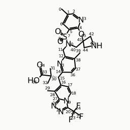 Cc1cnc2c(c1)S(=O)(=O)N(Cc1nc([C@H](c3ccn4c(C(F)(F)F)nnc4c3C)C(C)(C)C(=O)O)ccc1C)CC1(CNC1)O2